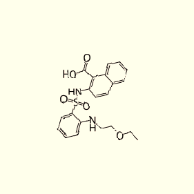 CCOCCNc1ccccc1S(=O)(=O)Nc1ccc2ccccc2c1C(=O)O